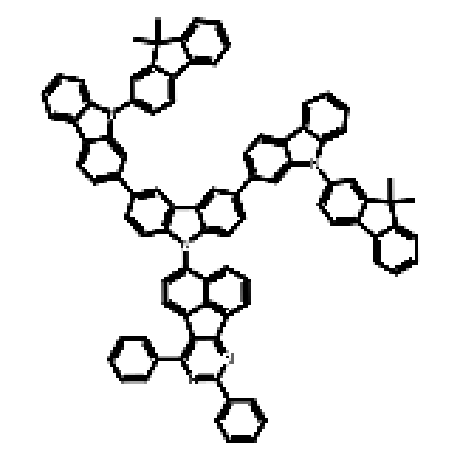 CC1(C)c2ccccc2-c2ccc(-n3c4ccccc4c4ccc(-c5ccc6c(c5)c5cc(-c7ccc8c9ccccc9n(-c9ccc%10c(c9)C(C)(C)c9ccccc9-%10)c8c7)ccc5n6-c5ccc6c7c(cccc57)-c5nc(-c7ccccc7)nc(-c7ccccc7)c5-6)cc43)cc21